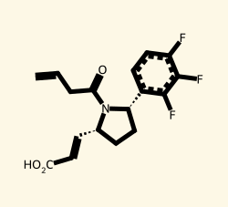 C=CCC(=O)N1[C@@H](/C=C/C(=O)O)CC[C@H]1c1ccc(F)c(F)c1F